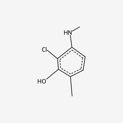 CNc1ccc(C)c(O)c1Cl